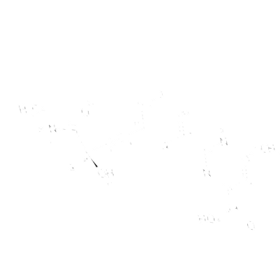 Cc1cc(C(=O)O)nc(-c2cccc(C#C[C@]3(O)CCN(C)C3=O)c2)n1